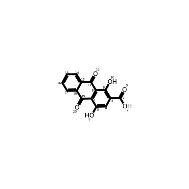 O=C(O)c1cc(O)c2c(c1O)C(=O)c1ccccc1C2=O